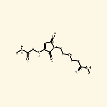 CNC(=O)CCOCCN1C(=O)C=C(SCC(=O)NC)C1=O